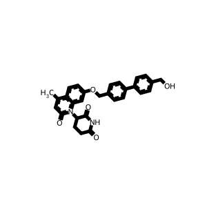 Cc1cc(=O)n(C2CCC(=O)NC2=O)c2cc(OCc3ccc(-c4ccc(CO)cc4)cc3)ccc12